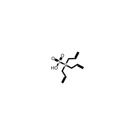 C=CC[Si](CC=C)(CC=C)S(=O)(=O)O